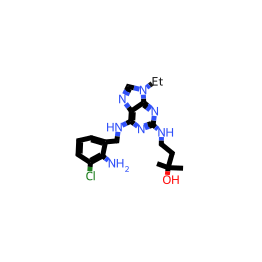 CCn1cnc2c(NCc3cccc(Cl)c3N)nc(NCCC(C)(C)O)nc21